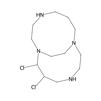 ClC1CNCCN2CCCNCCN(CC2)C1Cl